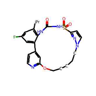 CC(C)c1cc(F)cc2c1NC(=O)NS(=O)(=O)c1ccn(n1)CCCCCOc1cc-2ccn1